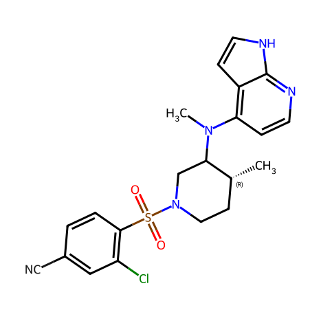 C[C@@H]1CCN(S(=O)(=O)c2ccc(C#N)cc2Cl)CC1N(C)c1ccnc2[nH]ccc12